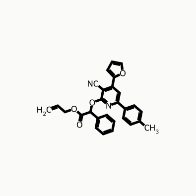 C=CCOC(=O)C(Oc1nc(-c2ccc(C)cc2)cc(-c2ccco2)c1C#N)c1ccccc1